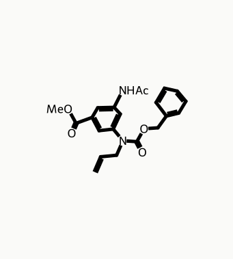 C=CCN(C(=O)OCc1ccccc1)c1cc(NC(C)=O)cc(C(=O)OC)c1